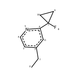 CCc1ccnc(C2(F)CC2)c1